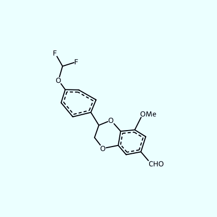 COc1cc(C=O)cc2c1OC(c1ccc(OC(F)F)cc1)CO2